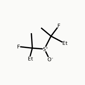 CCC(C)(F)[S+]([O-])C(C)(F)CC